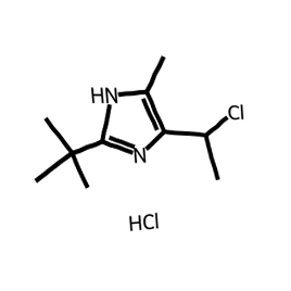 Cc1[nH]c(C(C)(C)C)nc1C(C)Cl.Cl